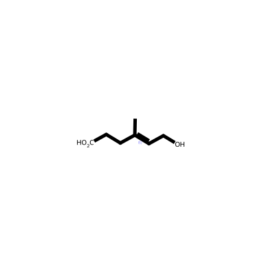 C/C(=C\CO)CCC(=O)O